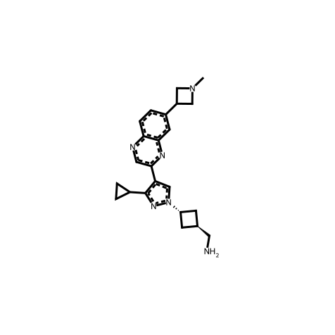 CN1CC(c2ccc3ncc(-c4cn([C@H]5C[C@H](CN)C5)nc4C4CC4)nc3c2)C1